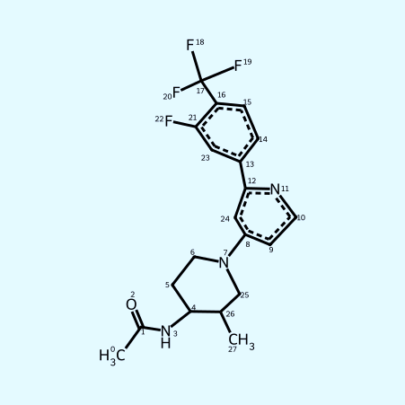 CC(=O)NC1CCN(c2ccnc(-c3ccc(C(F)(F)F)c(F)c3)c2)CC1C